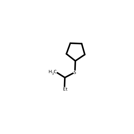 [CH2]CC(C)SC1CCCC1